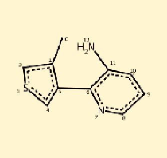 Cc1cscc1-c1ncc[c]c1N